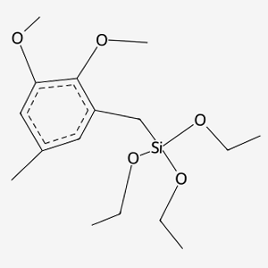 CCO[Si](Cc1cc(C)cc(OC)c1OC)(OCC)OCC